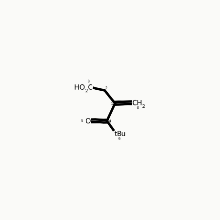 C=C(CC(=O)O)C(=O)C(C)(C)C